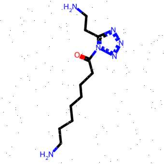 NCCCCCCCC(=O)n1nnnc1CCN